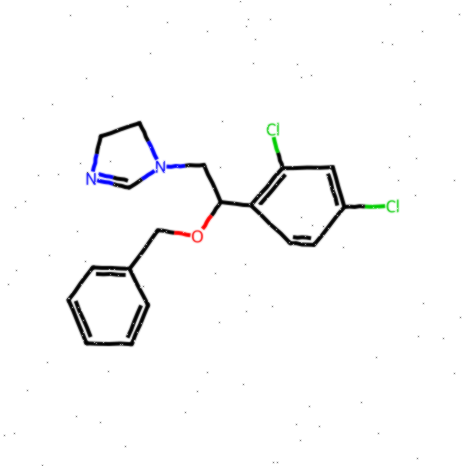 Clc1ccc(C(CN2C=NCC2)OCc2ccccc2)c(Cl)c1